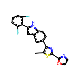 Cc1sc(-c2ncco2)nc1-c1ccc2[nH]c(-c3c(F)cccc3F)cc2c1